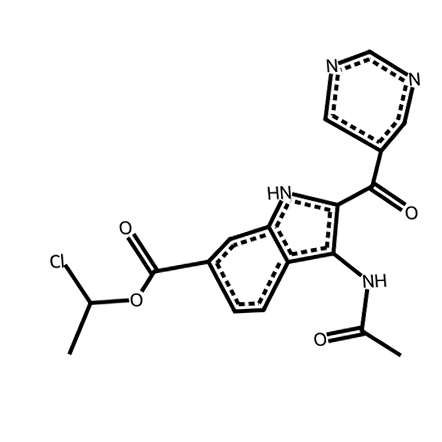 CC(=O)Nc1c(C(=O)c2cncnc2)[nH]c2cc(C(=O)OC(C)Cl)ccc12